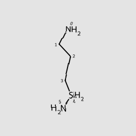 NCCC[SiH2]N